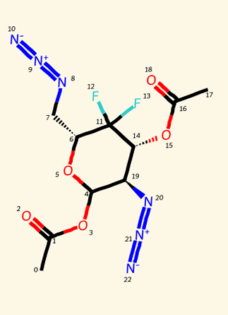 CC(=O)OC1O[C@H](CN=[N+]=[N-])C(F)(F)[C@H](OC(C)=O)[C@H]1N=[N+]=[N-]